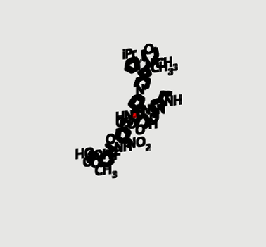 CC(C)c1ccccc1[C@@H]1COCCC(C)(C)N1C1CC2(CCN(c3ccc(C(=O)NS(=O)(=O)c4cc5c(c([N+](=O)[O-])c4)N[C@H](C4(F)CCC(C)(OP(=O)(O)O)CC4)CO5)c(N4c5cc6cc[nH]c6nc5O[C@H]5COCC[C@@H]54)c3)CC2)C1